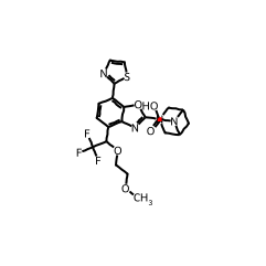 COCCOC(c1ccc(-c2nccs2)c2oc(N3CC4CC(C3)N4C(=O)O)nc12)C(F)(F)F